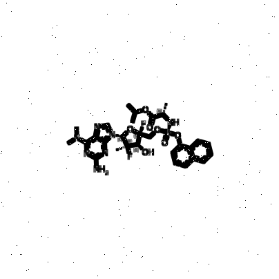 CC(C)OC(=O)[C@H](C)N[P@@](=O)(OC[C@@]1(F)O[C@@H](n2cnc3c(N(C)C)nc(N)nc32)[C@](C)(F)[C@@H]1O)Oc1cccc2ccccc12